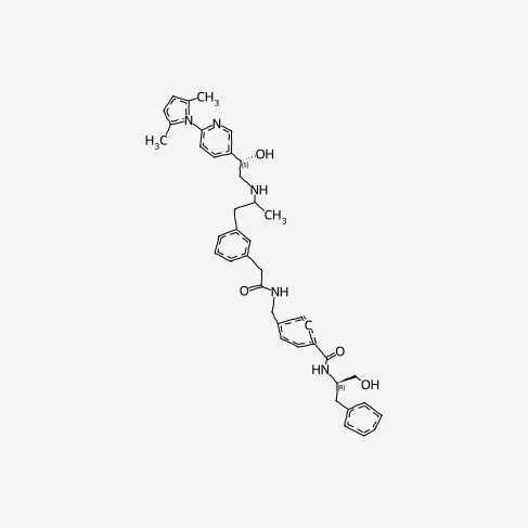 Cc1ccc(C)n1-c1ccc([C@H](O)CNC(C)Cc2cccc(CC(=O)NCc3ccc(C(=O)N[C@@H](CO)Cc4ccccc4)cc3)c2)cn1